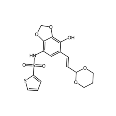 O=S(=O)(Nc1cc(C=CC2OCCCO2)c(O)c2c1OCO2)c1cccs1